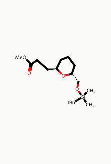 COC(=O)CC[C@H]1CCC[C@H](CO[Si](C)(C)C(C)(C)C)O1